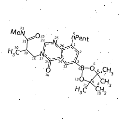 CCCCCc1cc(B2OC(C)(C)C(C)(C)O2)cc2c(=O)n(CC(C)C(=O)NC)cnc12